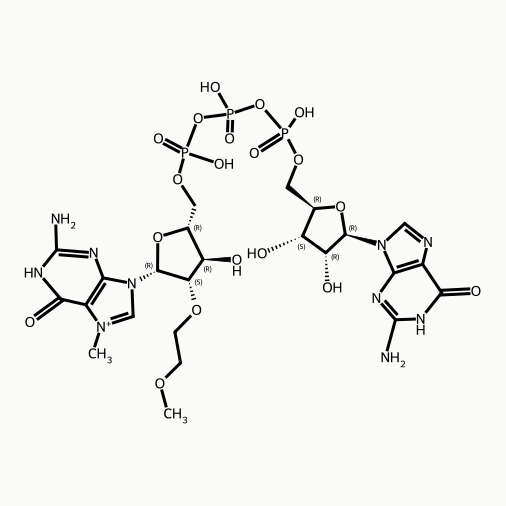 COCCO[C@H]1[C@H](O)[C@@H](COP(=O)(O)OP(=O)(O)OP(=O)(O)OC[C@H]2O[C@@H](n3cnc4c(=O)[nH]c(N)nc43)[C@H](O)[C@@H]2O)O[C@H]1n1c[n+](C)c2c(=O)[nH]c(N)nc21